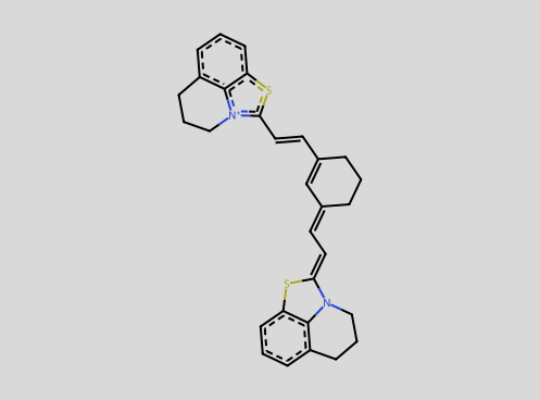 C1=C(/C=C/c2sc3cccc4c3[n+]2CCC4)CCC/C1=C\C=C1/Sc2cccc3c2N1CCC3